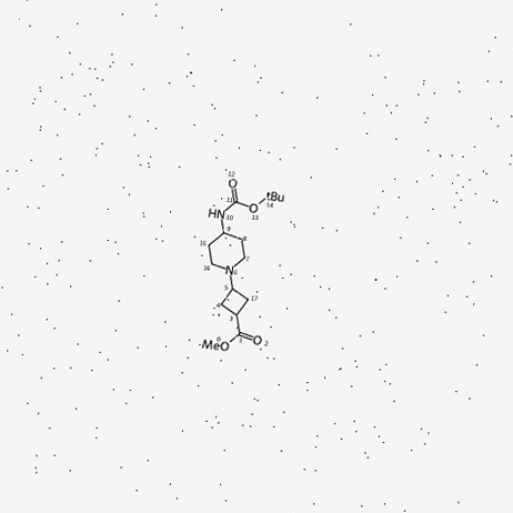 COC(=O)C1CC(N2CCC(NC(=O)OC(C)(C)C)CC2)C1